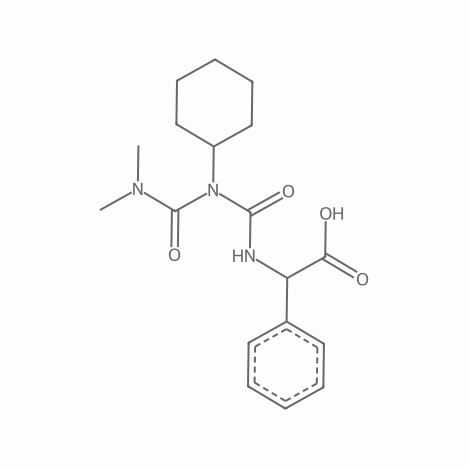 CN(C)C(=O)N(C(=O)NC(C(=O)O)c1ccccc1)C1CCCCC1